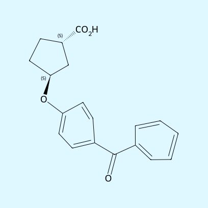 O=C(c1ccccc1)c1ccc(O[C@H]2CC[C@H](C(=O)O)C2)cc1